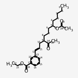 CCCCCC(CCCC(CC=Cc1cccc(C(=O)OCC)c1)C(C)=O)OC(C)=O